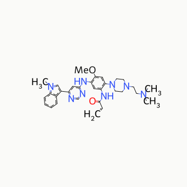 C=CC(=O)Nc1cc(Nc2cc(-c3cn(C)c4ccccc34)ncn2)c(OC)cc1N1CCN(CCN(C)C)CC1